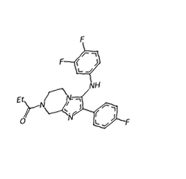 CCC(=O)N1CCn2c(nc(-c3ccc(F)cc3)c2Nc2ccc(F)c(F)c2)C1